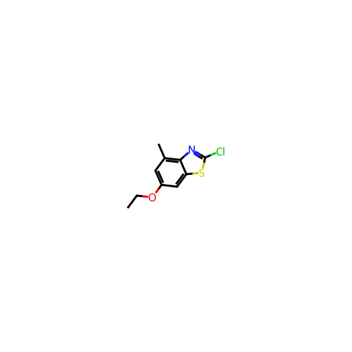 CCOc1cc(C)c2nc(Cl)sc2c1